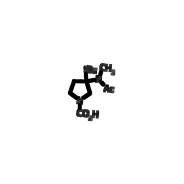 CC(=O)N(C)C1(C(C)(C)C)CCN(C(=O)O)C1